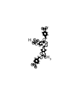 CN(C[C@H]1CCN(C(=O)[C@@H]2C[C@@H](OS(C)(=O)=O)CN2C(=O)OCc2ccc([N+](=O)[O-])cc2)C1)C(=O)OCc1ccc([N+](=O)[O-])cc1